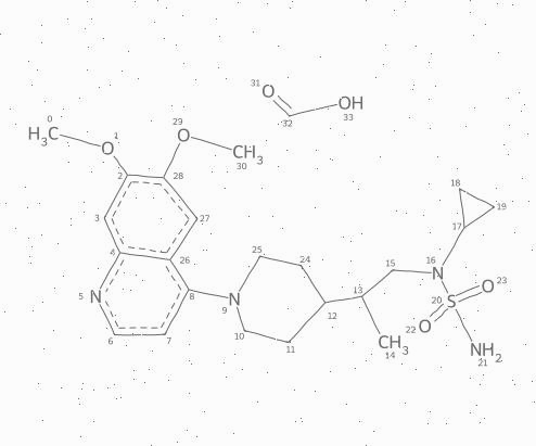 COc1cc2nccc(N3CCC(C(C)CN(C4CC4)S(N)(=O)=O)CC3)c2cc1OC.O=CO